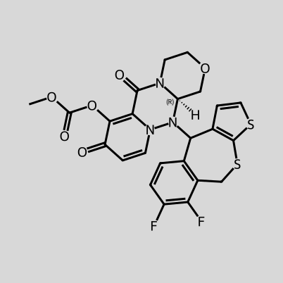 COC(=O)Oc1c2n(ccc1=O)N(C1c3ccsc3SCc3c1ccc(F)c3F)[C@@H]1COCCN1C2=O